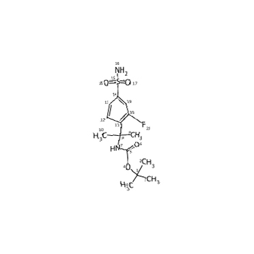 CC(C)(C)OC(=O)NC(C)(C)c1ccc(S(N)(=O)=O)cc1F